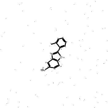 Cc1ccccc1-c1nc2cc(C(C)(C)C)ccc2o1